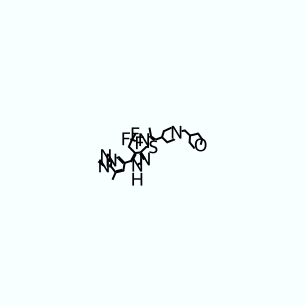 Cc1nc(-c2n[nH]c(-c3cc(C)c4ncnn4c3)c2CC(F)(F)F)sc1C1CCN(CC2CCOCC2)CC1